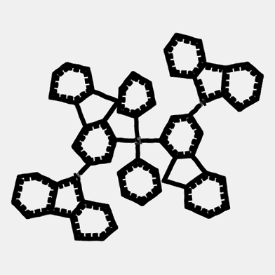 c1ccc([Si](c2ccccc2)(c2cc(-n3c4ccccc4c4ccccc43)cc3c2Cc2ccccc2-3)c2cc(-n3c4ccccc4c4ccccc43)cc3c2Cc2ccccc2-3)cc1